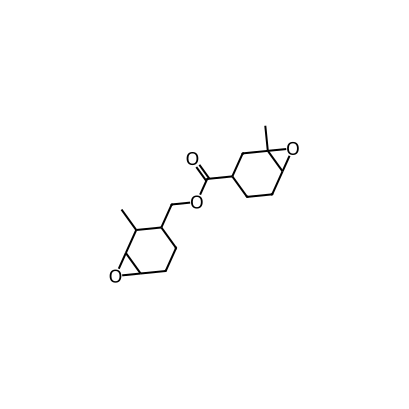 CC1C(COC(=O)C2CCC3OC3(C)C2)CCC2OC21